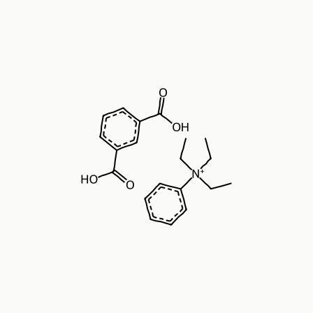 CC[N+](CC)(CC)c1ccccc1.O=C(O)c1cccc(C(=O)O)c1